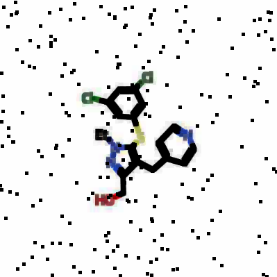 CCn1nc(CO)c(Cc2ccncc2)c1Sc1cc(Cl)cc(Cl)c1